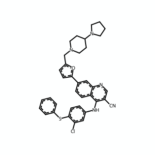 N#Cc1cnc2cc(-c3ccc(CN4CCC(N5CCCC5)CC4)o3)ccc2c1Nc1ccc(Sc2ccccc2)c(Cl)c1